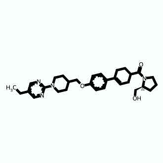 CCc1cnc(N2CCC(COc3ccc(C4=CCC(C(=O)N5CCC[C@H]5CO)CC4)cc3)CC2)nc1